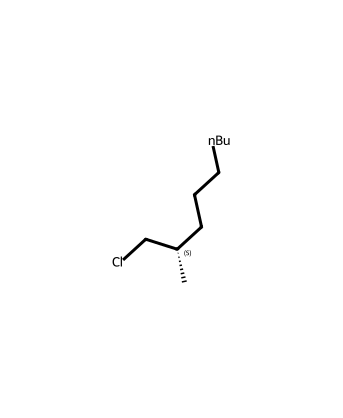 CCCCCCC[C@H](C)CCl